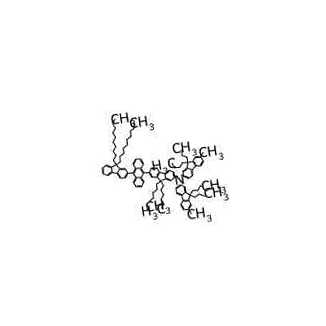 CCCCCCCCCCC1(CCCCCCCCCC)c2ccccc2-c2ccc(-c3c4ccccc4c(-c4ccc5c(c4)C(CCCCCC)(CCCCCC)c4cc(N(c6ccc7c(c6)C(CCCC)(CCCC)c6cc(C)ccc6-7)c6ccc7c(c6)C(CCCC)(CCCC)c6cc(C)ccc6-7)ccc4-5)c4ccccc34)cc21